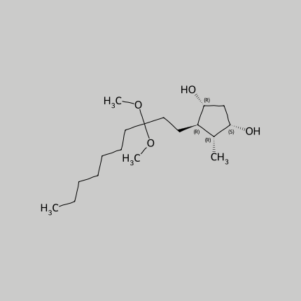 CCCCCCCC(CC[C@@H]1[C@@H](C)[C@@H](O)C[C@H]1O)(OC)OC